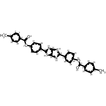 Cc1ccc(C(=O)Oc2ccc(-c3nc4sc(-c5ccc(OC(=O)c6ccc(C)cc6)cc5)nc4s3)cc2)cc1